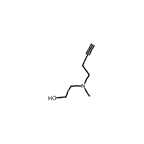 C#CCCN(C)CCO